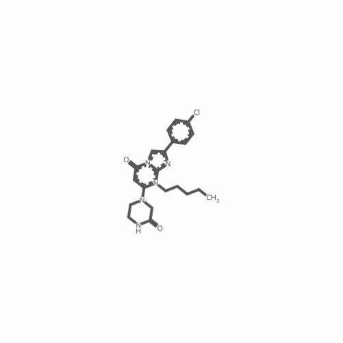 CCCCCn1c(N2CCNC(=O)C2)cc(=O)n2cc(-c3ccc(Cl)cc3)nc12